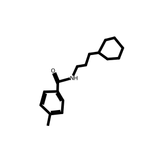 Cc1ccc(C(=O)NCCCC2CCCCC2)cc1